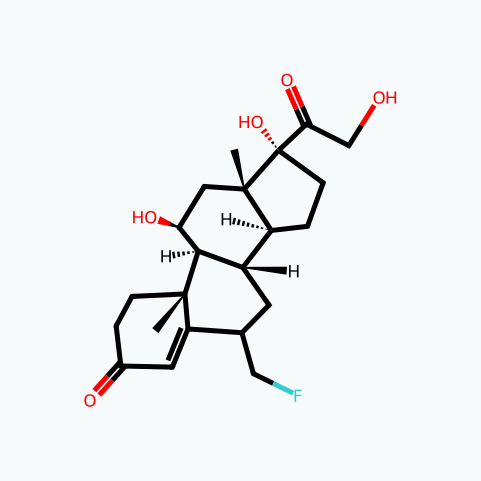 C[C@]12CCC(=O)C=C1C(CF)C[C@@H]1[C@@H]2[C@@H](O)C[C@@]2(C)[C@H]1CC[C@]2(O)C(=O)CO